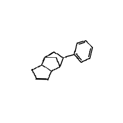 c1ccc([C]2CC3CC2C2CCCC32)cc1